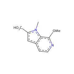 COc1nccc2cc(C(=O)O)n(C)c12